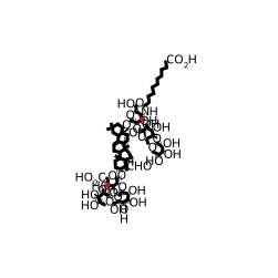 CC1O[C@@H](OC2C(O)[C@@H](NC(=O)CCCCCCCCCCC(=O)O)C(CO)O[C@H]2OC[C@]23CCC(C)(C)CC2C2=CCC4C5(C)CC[C@H](O[C@@H]6OC(C(=O)O)[C@@H](O)[C@H](O[C@@H]7OC[C@@H](O)[C@@H](O)C7O)C6O[C@@H]6OC(CO)[C@H](O)[C@H](O)C6O)[C@](C)(C=O)[C@@H]5CCC4(C)[C@]2(C)CC3O)C(O)C(O)[C@H]1O[C@@H]1OC[C@@H](O)C(O)C1O